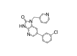 O=c1[nH]c2ncc(-c3cccc(Cl)c3)cc2n1Cc1cccnc1